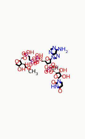 COCC[C@H]1[C@@H](O)CO[C@@H]1COP(=O)(O)CCP(=O)(O)OP(=O)(O)OC[C@H]1O[C@@H](n2cnc3c(N)ncnc32)[C@H](OC)[C@@H]1OP(=O)(O)OC[C@H]1O[C@@H](n2ccc(=O)[nH]c2=O)[C@H](O)[C@@H]1O